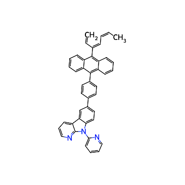 C=C/C(=C\C=C/C)c1c2ccccc2c(-c2ccc(-c3ccc4c(c3)c3cccnc3n4-c3ccccn3)cc2)c2ccccc12